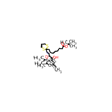 CCCCC[C@@H](O)[C@@H](/C=C/C1(CCCCCCCC(=O)OC(C)(C)C)SCCCS1)O[Si](C(C)C)(C(C)C)C(C)C